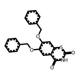 O=c1[nH]c(=O)c2cc(OCc3ccccc3)c(OCc3ccccc3)cc2s1